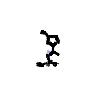 C/C(=N\[S@+]([O-])C(C)(C)C)c1ncc(Br)s1